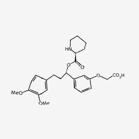 COc1ccc(CCC(OC(=O)[C@@H]2CCCCN2)c2cccc(OCC(=O)O)c2)cc1OC